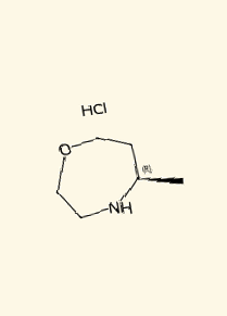 C[C@@H]1CCOCCN1.Cl